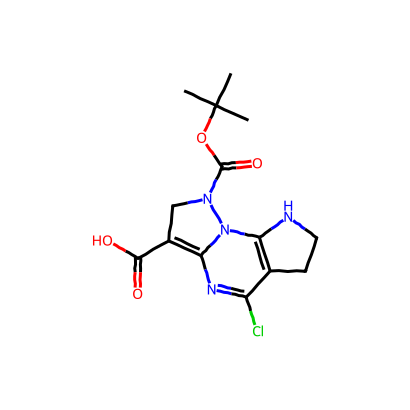 CC(C)(C)OC(=O)N1CC(C(=O)O)=C2N=C(Cl)C3=C(NCC3)N21